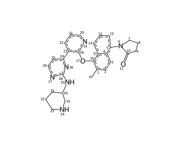 Cc1ccc2c(N3CCCC3=O)cccc2c1Oc1ncccc1-c1ccnc(NC2CCCNC2)n1